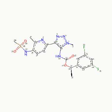 Cc1nc(-c2nnn(C)c2NC(=O)O[C@H](C)c2cc(F)cc(F)c2)ccc1NS(C)(=O)=O